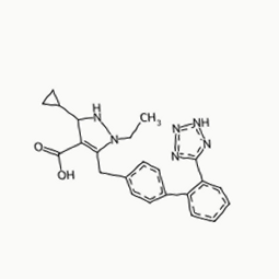 CCN1NC(C2CC2)C(C(=O)O)=C1Cc1ccc(-c2ccccc2-c2nn[nH]n2)cc1